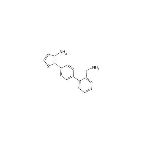 NCc1ccccc1-c1ccc(-c2sccc2N)cc1